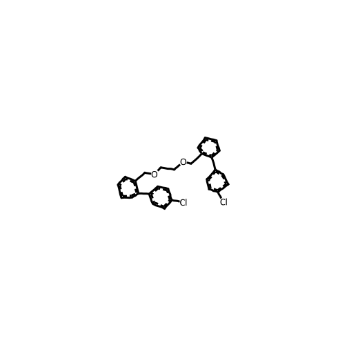 Clc1ccc(-c2ccccc2COCCOCc2ccccc2-c2ccc(Cl)cc2)cc1